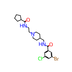 O=C(NCC1CCN(CCNC(=O)C2CCCC2)CC1)c1cc(Cl)cc(Br)c1